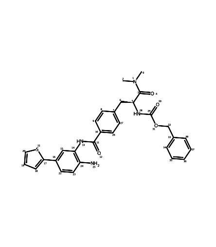 CN(C)C(=O)[C@H](Cc1ccc(C(=O)Nc2cc(-c3cccs3)ccc2N)cc1)NC(=O)OCc1ccccc1